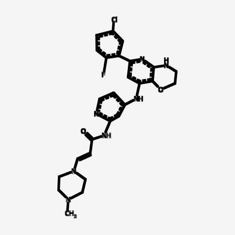 CN1CCN(C=CC(=O)Nc2cc(Nc3cc(-c4cc(Cl)ccc4F)nc4c3OCCN4)ccn2)CC1